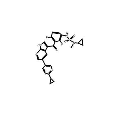 CN(C1CC1)S(=O)(=O)Nc1ccc(F)c(C(=O)c2c[nH]c3ncc(-c4cnc(C5CC5)nc4)cc23)c1F